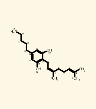 CC(C)=CCCC(C)=CCc1c(O)cc(CCCCN)cc1O